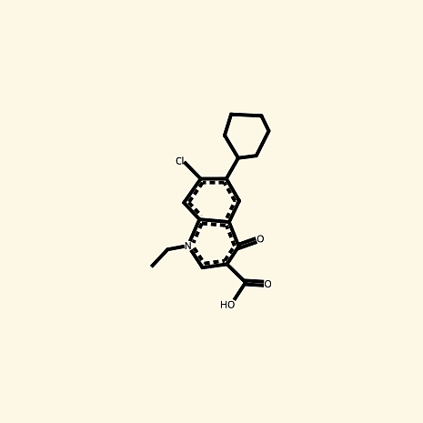 CCn1cc(C(=O)O)c(=O)c2cc(C3CCCCC3)c(Cl)cc21